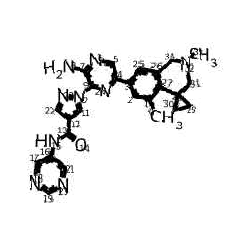 Cc1cc(-c2cnc(N)c(-n3cc(C(=O)Nc4cncnc4)cn3)n2)cc2c1C1(CC1)CN(C)C2